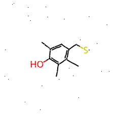 Cc1cc(C[S])c(C)c(C)c1O